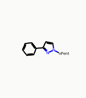 CCCCCn1ccc(-c2ccccc2)n1